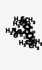 C[Si](C)(C)c1ccc2c(c1)C(COC(N)=O)c1cc([Si](C)(C)C)ccc1-2